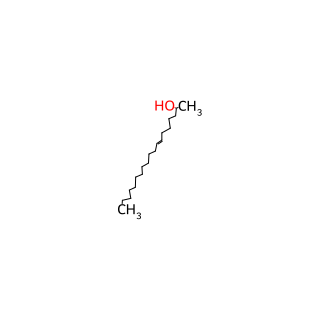 CCCCCCCCCCCC=CCCCCC(C)O